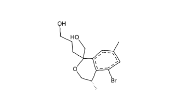 Cc1cc(Br)c2c(c1)C(CO)(CCCO)OC[C@H]2C